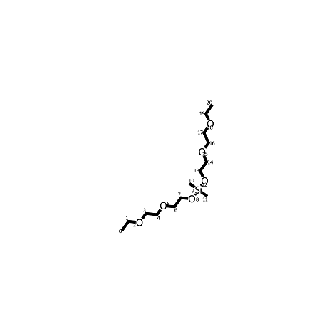 CCOCCOCCO[Si](C)(C)OCCOCCOCC